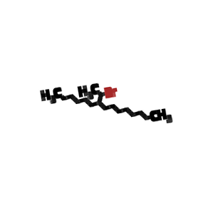 CCCCCCCCC(CCCCCC)C(C)Br